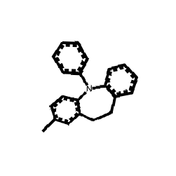 Cc1ccc2c(c1)CCc1ccccc1N2c1ccccc1